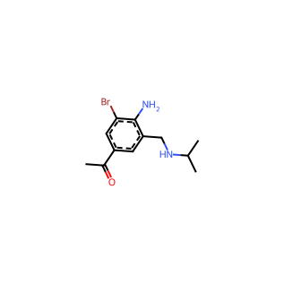 CC(=O)c1cc(Br)c(N)c(CNC(C)C)c1